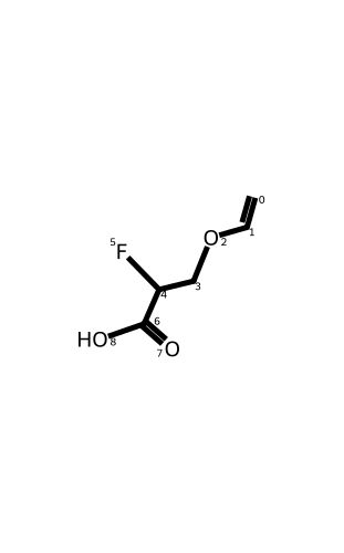 C=COCC(F)C(=O)O